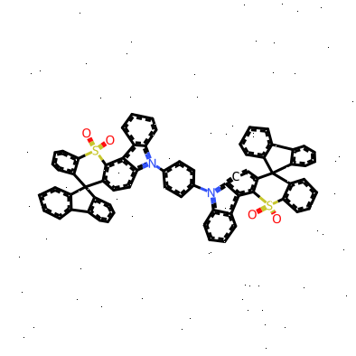 O=S1(=O)c2ccccc2C2(c3ccccc3-c3ccccc32)c2ccc3c(c21)c1ccccc1n3-c1ccc(-n2c3ccccc3c3c4c(ccc32)C2(c3ccccc3-c3ccccc32)c2ccccc2S4(=O)=O)cc1